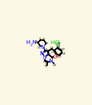 Cc1cn2nc(N3CCC[C@@H](N)C3)c(Cc3ccccc3Cl)c2c(=O)n1C.Cl